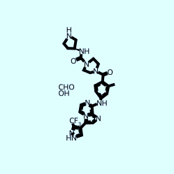 Cc1cc(Nc2nccn3c(-c4c[nH]nc4C(F)(F)F)cnc23)ccc1C(=O)N1CCN(C(=O)N[C@H]2CCNC2)CC1.O=CO